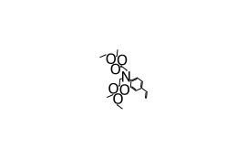 C=Cc1ccc(N(CC(=O)OC(C)OCC)CC(=O)OC(C)OCC)cc1